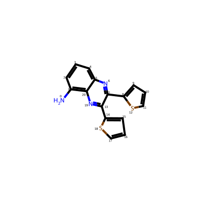 Nc1cccc2nc(-c3cccs3)c(-c3cccs3)nc12